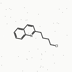 ClCCCCc1ccc2ccccc2n1